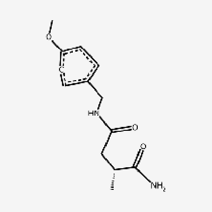 COc1ccc(CNC(=O)C[C@@H](C)C(N)=O)cc1